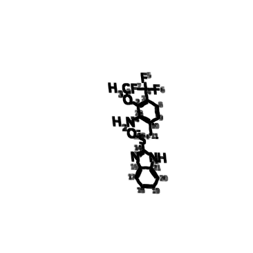 COc1c(C(F)(F)F)ccc(C[S+]([O-])c2nc3ccccc3[nH]2)c1N